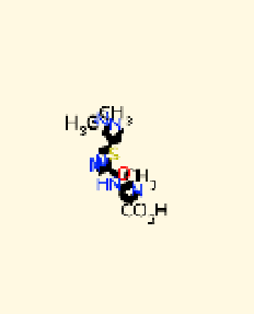 Cc1ncc(C(=O)O)cc1NC(=O)c1cnn2cc(-c3ccnc(N(C)C)c3)sc12